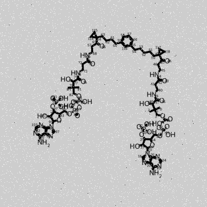 CC(C)(COP(=O)(O)OP(=O)(O)OCC1OC(n2cnc3c(N)ncnc32)C(O)C1OP(=O)(O)O)C(O)C(=O)NCCC(=O)NCCC(=O)C1(CCCCCc2cccc(CCCCC3(C(=O)CCNC(=O)CCNC(=O)C(O)C(C)(C)COP(=O)(O)OP(=O)(O)OCC4OC(n5cnc6c(N)ncnc65)C(O)C4OP(=O)(O)O)CC3)c2)CC1